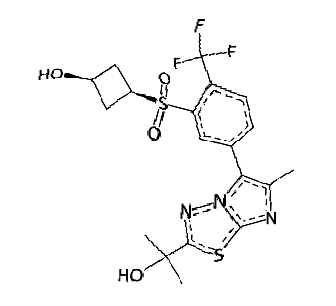 Cc1nc2sc(C(C)(C)O)nn2c1-c1ccc(C(F)(F)F)c(S(=O)(=O)[C@H]2C[C@@H](O)C2)c1